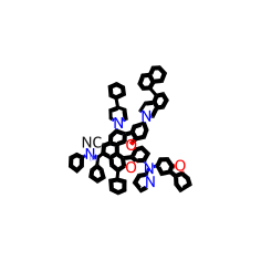 N#Cc1c(/C(=N/c2ccccc2)c2ccccc2)c2cc(-c3ccccc3)c3oc4c(N(c5ccc6oc7ccccc7c6c5)c5ccccn5)cccc4c3c2c2c1cc(N1C=CC(c3ccccc3)=CC1)c1c3cc(N4C=c5cccc(-c6cccc7ccccc67)c5=CC4)ccc3oc12